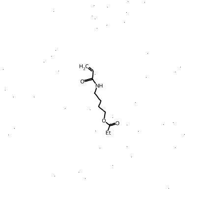 C=CC(=O)NCCCCOC(=O)CC